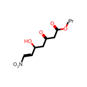 CC(C)OC(=O)CC(=O)CC(O)C=C[N+](=O)[O-]